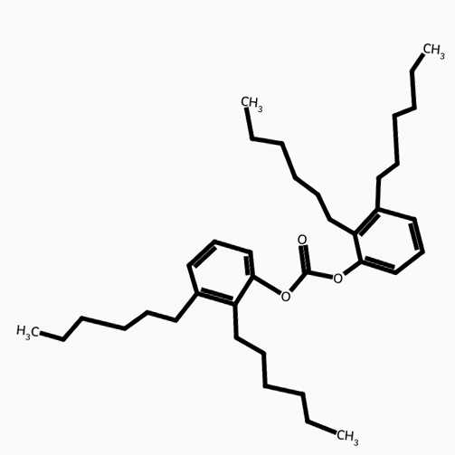 CCCCCCc1cccc(OC(=O)Oc2cccc(CCCCCC)c2CCCCCC)c1CCCCCC